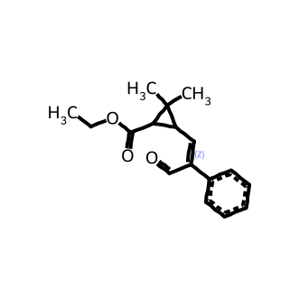 CCOC(=O)C1C(/C=C(\C=O)c2ccccc2)C1(C)C